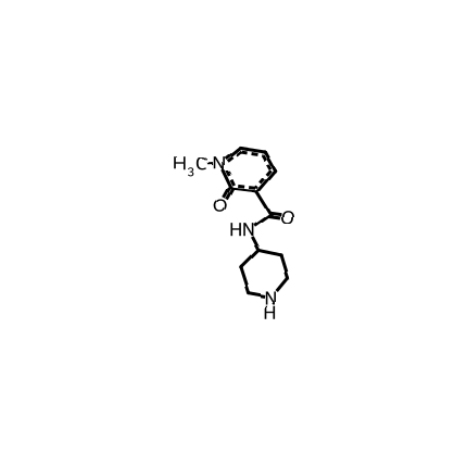 Cn1cccc(C(=O)NC2CCNCC2)c1=O